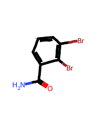 NC(=O)c1c[c]cc(Br)c1Br